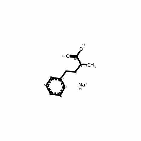 CC(CCc1ccccc1)C(=O)[O-].[Na+]